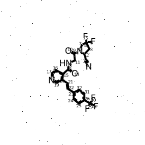 N#CC1CC(F)(F)CN1C(=O)CNC(=O)c1ccncc1/C=C/c1ccc(C(F)(F)F)cc1